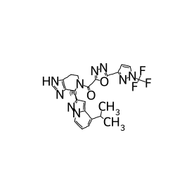 CC(C)c1cccn2nc([C@H]3c4nc[nH]c4CCN3C(=O)c3nnc(-c4ccn(C(F)(F)F)n4)o3)cc12